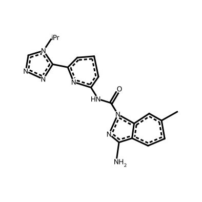 Cc1ccc2c(N)nn(C(=O)Nc3cccc(-c4nncn4C(C)C)n3)c2c1